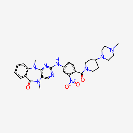 CN1CCN(C2CCN(C(=O)c3ccc(Nc4ncc5c(n4)N(C)c4ccccc4C(=O)N5C)cc3[N+](=O)[O-])CC2)CC1